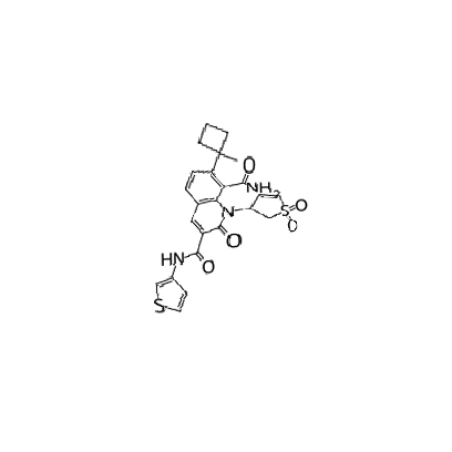 CC1(c2ccc3cc(C(=O)Nc4ccsc4)c(=O)n(C4C=CS(=O)(=O)C4)c3c2C(N)=O)CCC1